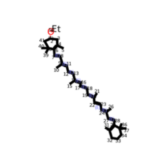 CCO[C@@H]1CC(C)=C(/C=C/C(C)=C/C=C/C(C)=C/C=C/C=C(C)/C=C/C=C(C)/C=C/C2=C(C)CCCC2(C)C)C(C)(C)C1